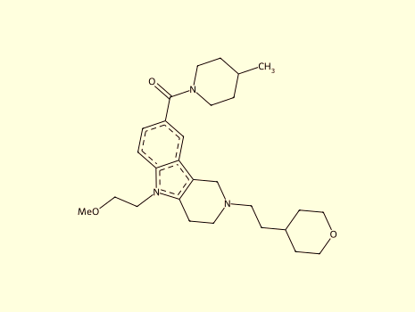 COCCn1c2c(c3cc(C(=O)N4CCC(C)CC4)ccc31)CN(CCC1CCOCC1)CC2